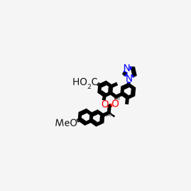 COc1ccc2cc([C@H](C)C(=O)O[C@@H](c3cc(-n4ccnc4)ccc3C)c3c(C)cc(C(=O)O)cc3C)ccc2c1